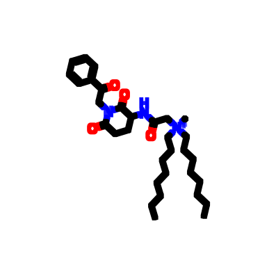 CCCCCCCC[N+](C)(CCCCCCCC)CC(=O)NC1CCC(=O)N(CC(=O)c2ccccc2)C1=O